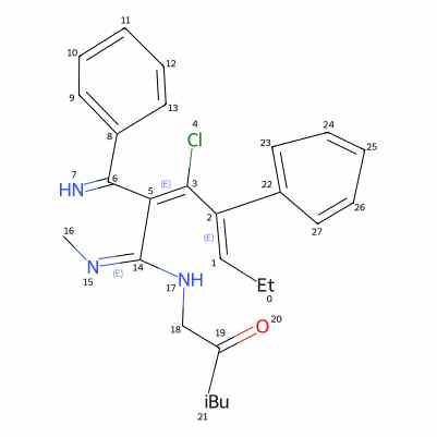 CC/C=C(/C(Cl)=C(C(=N)c1ccccc1)\C(=N/C)NCC(=O)C(C)CC)c1ccccc1